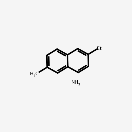 CCc1ccc2cc(C)ccc2c1.N